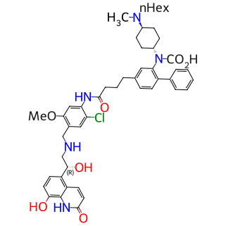 CCCCCCN(C)[C@H]1CC[C@H](N(C(=O)O)c2cc(CCCC(=O)Nc3cc(OC)c(CNC[C@H](O)c4ccc(O)c5[nH]c(=O)ccc45)cc3Cl)ccc2-c2ccccc2)CC1